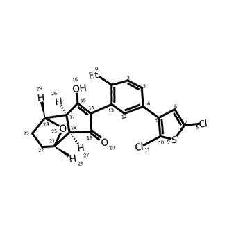 CCc1ccc(-c2cc(Cl)sc2Cl)cc1C1=C(O)[C@H]2[C@@H](C1=O)[C@@H]1CC[C@H]2O1